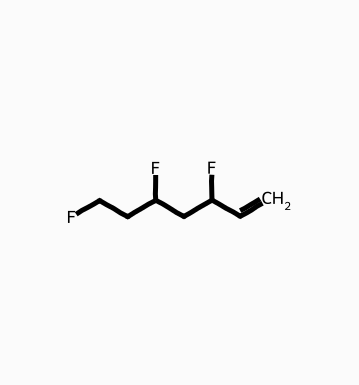 C=CC(F)CC(F)CCF